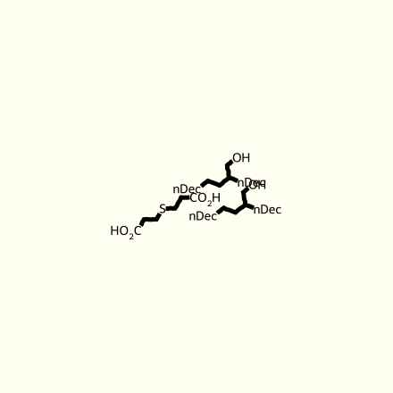 CCCCCCCCCCCCC(CO)CCCCCCCCCC.CCCCCCCCCCCCC(CO)CCCCCCCCCC.O=C(O)CCSCCC(=O)O